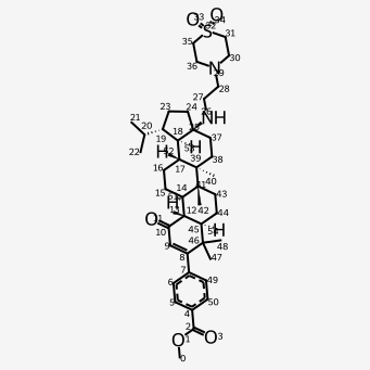 COC(=O)c1ccc(C2=CC(=O)[C@]3(C)[C@H]4CC[C@@H]5[C@H]6[C@H](C(C)C)CC[C@]6(NCCN6CCS(=O)(=O)CC6)CC[C@@]5(C)[C@]4(C)CC[C@H]3C2(C)C)cc1